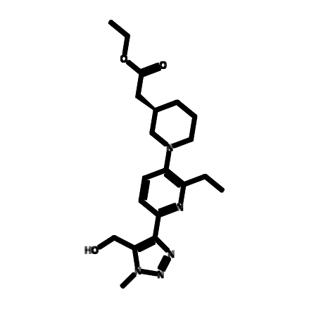 CCOC(=O)C[C@H]1CCCN(c2ccc(-c3nnn(C)c3CO)nc2CC)C1